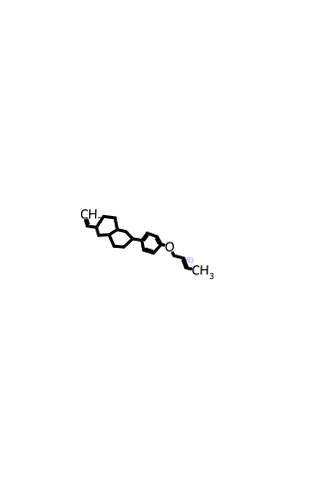 C=CC1CCC2CC(c3ccc(OC/C=C/C)cc3)CCC2C1